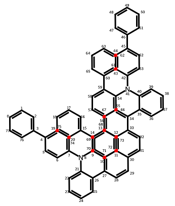 c1ccc(-c2ccc(N(c3ccccc3-c3ccccc3)c3ccccc3-c3ccc4ccc5c(-c6ccccc6N(c6ccc(-c7ccccc7)cc6)c6ccccc6-c6ccccc6)ccc6ccc3c4c65)cc2)cc1